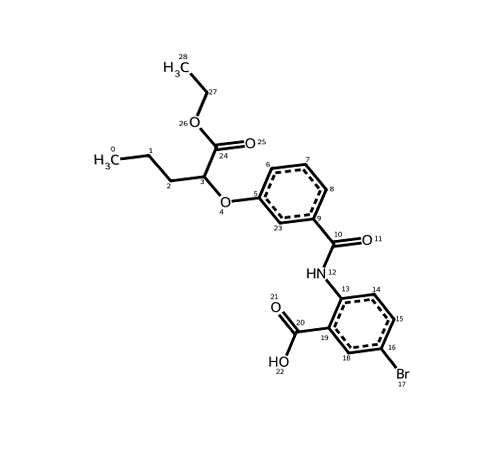 CCCC(Oc1cccc(C(=O)Nc2ccc(Br)cc2C(=O)O)c1)C(=O)OCC